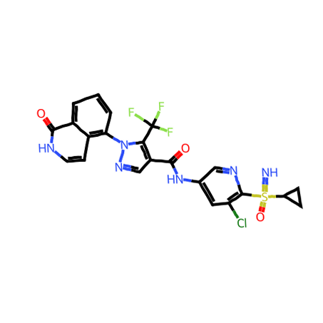 N=S(=O)(c1ncc(NC(=O)c2cnn(-c3cccc4c(=O)[nH]ccc34)c2C(F)(F)F)cc1Cl)C1CC1